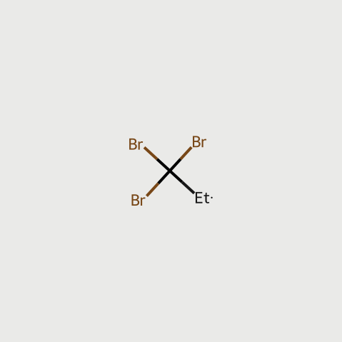 C[CH]C(Br)(Br)Br